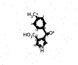 Cc1ccc(C(=O)c2c[nH]cc2C(=O)O)cc1